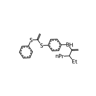 C=C(Sc1ccccc1)Sc1ccc(BC(=C)C(CC)CCC)cc1